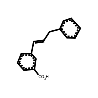 O=C(O)c1cccc(C=CCc2ccccc2)c1